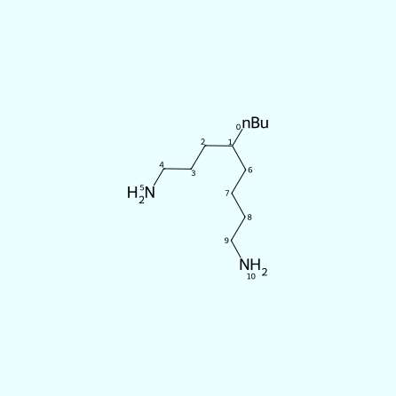 CCCCC(CCCN)CCCCN